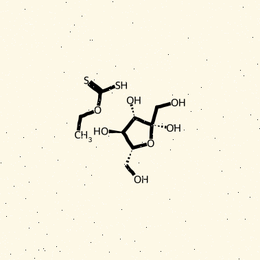 CCOC(=S)S.OC[C@H]1O[C@](O)(CO)[C@@H](O)[C@@H]1O